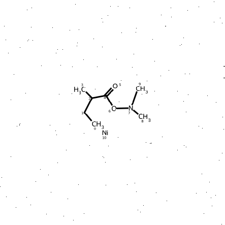 CCC(C)C(=O)ON(C)C.[Ni]